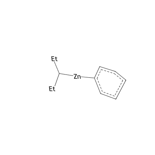 CC[CH](CC)[Zn][c]1ccccc1